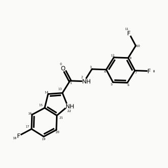 O=C(NCc1ccc(F)c(CF)c1)c1cc2cc(F)ccc2[nH]1